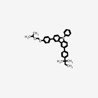 CCC(C)(C)c1ccc(-c2ccc3c(c2)c2cc(-c4ccc(OCOC(C)C)cc4)ccc2n3-c2ccccc2)cc1